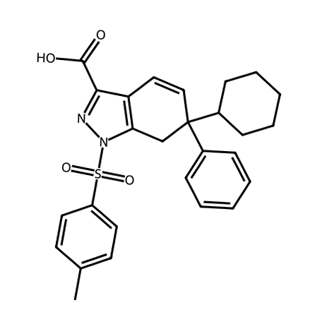 Cc1ccc(S(=O)(=O)n2nc(C(=O)O)c3c2CC(c2ccccc2)(C2CCCCC2)C=C3)cc1